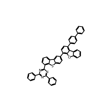 c1ccc(-c2ccc(-c3ccc(-c4ccc5sc6c(-c7nc(-c8ccccc8)nc(-c8ccccc8)n7)cccc6c5c4)c4oc5ccccc5c34)cc2)cc1